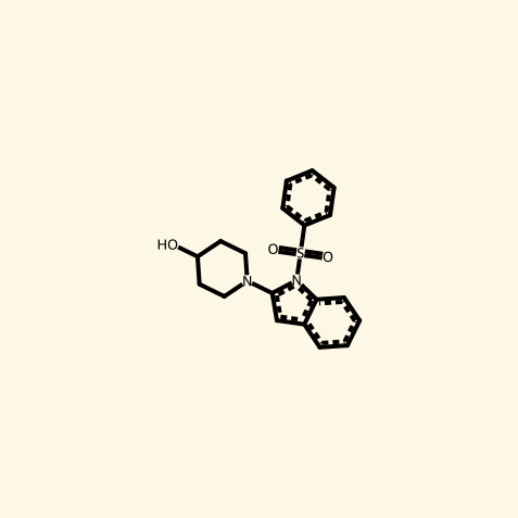 O=S(=O)(c1ccccc1)n1c(N2CCC(O)CC2)cc2ccccc21